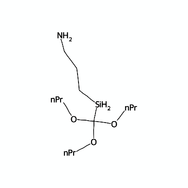 CCCOC(OCCC)(OCCC)[SiH2]CCCN